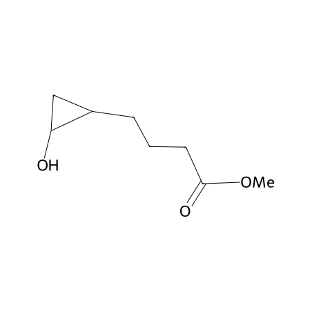 COC(=O)CCCC1CC1O